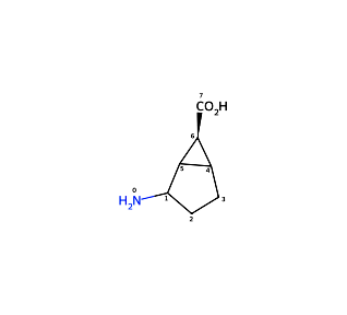 NC1CCC2C1[C@H]2C(=O)O